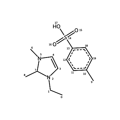 CCN1C=CN(C)C1C.Cc1ccc(S(=O)(=O)O)cc1